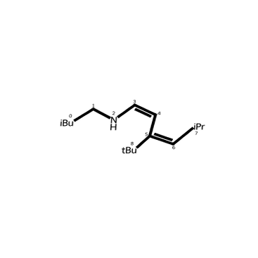 CCC(C)CN/C=C\C(=C/C(C)C)C(C)(C)C